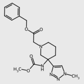 COC(=O)NC1(c2cn(C)nn2)CCCN(CC(=O)OCc2ccccc2)C1